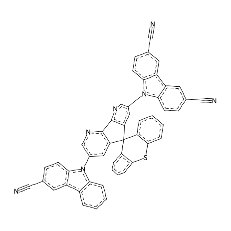 N#Cc1ccc2c(c1)c1ccccc1n2-c1cnc2c(c1)C1(c3ccccc3Sc3ccccc31)c1cc(-n3c4ccc(C#N)cc4c4cc(C#N)ccc43)cnc1-2